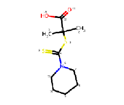 CC(C)(SC(=S)N1CCCCC1)C(=O)O